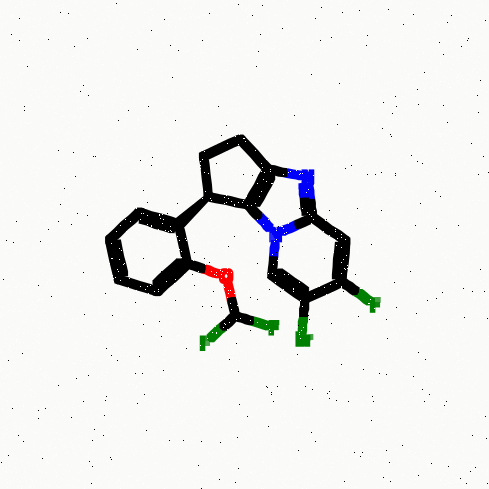 Fc1cc2nc3c(n2cc1Br)[C@@H](c1ccccc1OC(F)F)CC3